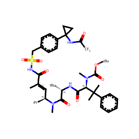 C/C(=C\[C@H](C(C)C)N(C)C(=O)[C@@H](NC(=O)[C@@H](N(C)C(=O)OC(C)(C)C)C(C)(C)c1ccccc1)C(C)(C)C)C(=O)NS(=O)(=O)Cc1ccc(C2(NC(=O)C(F)(F)F)CC2)cc1